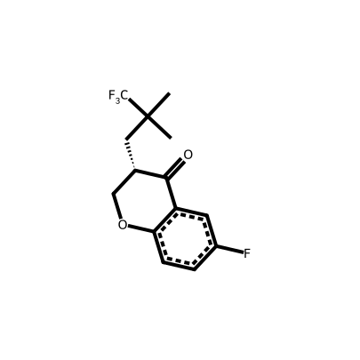 CC(C)(C[C@H]1COc2ccc(F)cc2C1=O)C(F)(F)F